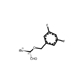 CC[C@H](C)[C@@H](C=O)OCc1cc(F)cc(F)c1